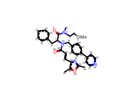 COCCN(C)C(=O)C(Cc1ccccc1)N(Cc1ccc(-c2ccncc2)cc1)C(=O)C=Cc1nc(C)oc1C